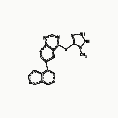 CN1NNN=C1Sc1ncnc2ccc(-c3cccc4ccccc34)cc12